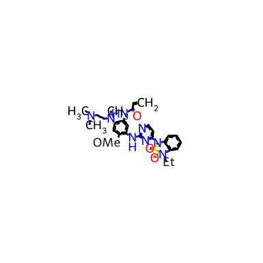 C=CC(=O)Nc1cc(Nc2nccc(N3c4ccccc4N(CC)S3(=O)=O)n2)c(OC)cc1N(C)CCN(C)C